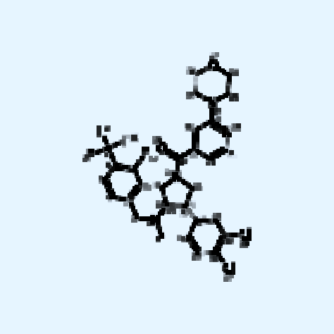 CN(Cc1ccc(C(F)(F)F)c(F)c1)[C@H]1CN(C(=O)c2ccnc(N3CCOCC3)c2)C[C@@H]1c1ccc(Cl)c(Cl)c1